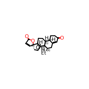 CC[C@@H]1CC2=CC(=O)CC[C@@H]2[C@H]2CC[C@@]3(C)[C@@H](CC[C@@]34C=CC(=O)O4)[C@H]12